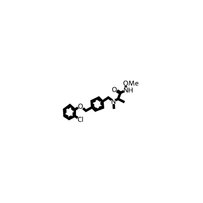 CONC(=O)C(C)N(C)Cc1ccc(COc2ccccc2Cl)cc1